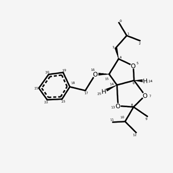 CC(C)C[C@H]1O[C@@H]2OC(C)(C(C)C)O[C@@H]2[C@H]1OCc1ccccc1